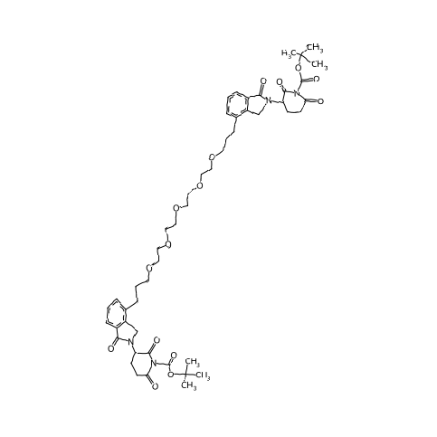 CC(C)(C)OC(=O)N1C(=O)CCC(N2Cc3c(CCCOCCOCCOCCOCCOCCCc4cccc5c4CN(C4CCC(=O)N(C(=O)OC(C)(C)C)C4=O)C5=O)cccc3C2=O)C1=O